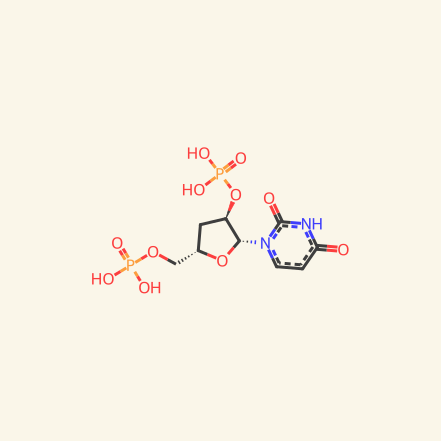 O=c1ccn([C@@H]2O[C@H](COP(=O)(O)O)C[C@H]2OP(=O)(O)O)c(=O)[nH]1